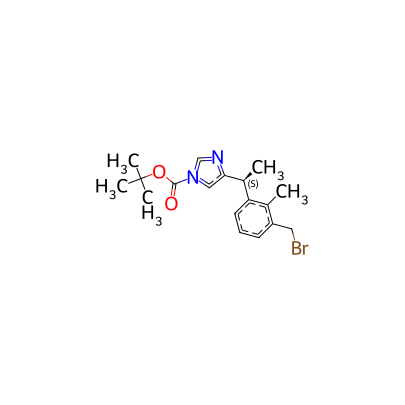 Cc1c(CBr)cccc1[C@H](C)c1cn(C(=O)OC(C)(C)C)cn1